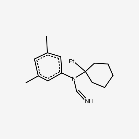 CCC1(N(C=N)c2cc(C)cc(C)c2)CCCCC1